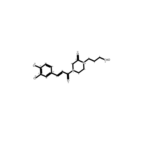 O=CCCCN1CCN(C(=O)C=Cc2ccc(Cl)c(Cl)c2)CC1=O